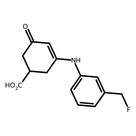 O=C1C=C(Nc2cccc(CF)c2)CC(C(=O)O)C1